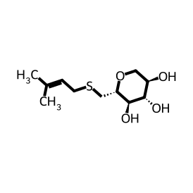 CC(C)=CCSC[C@@H]1OC[C@@H](O)[C@H](O)[C@H]1O